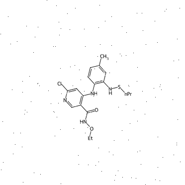 CCCSNc1cc(C)ccc1Nc1cc(Cl)ncc1C(=O)NOCC